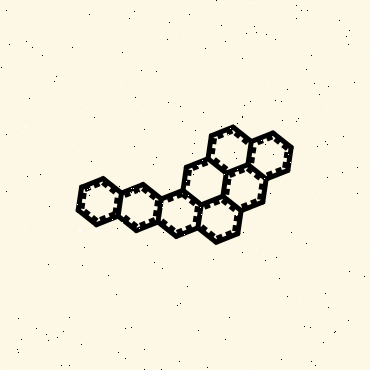 c1ccc2cc3c(cc2c1)cc1ccc2cc4cccc5ccc6cc3c1c2c6c54